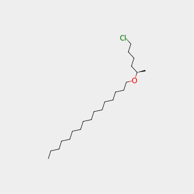 CCCCCCCCCCCCCCCCO[C@H](C)CCCCCl